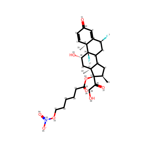 C[C@@H]1CC2C3C[C@H](F)C4=CC(=O)C=C[C@]4(C)[C@@]3(F)[C@@H](O)C[C@]2(C)[C@@]1(OC(=O)CCCCCO[N+](=O)[O-])C(=O)CO